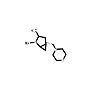 CC1C[C@@]2(CN3CCOCC3)CC2N1C(C)(C)C